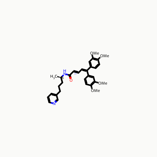 COc1ccc(C(=C/C=C/C(=O)N[C@H](C)CCCc2cccnc2)c2ccc(OC)c(OC)c2)cc1OC